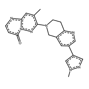 Cc1cc2nccc(=O)n2nc1N1CCc2ncc(-c3cnn(C)c3)cc2C1